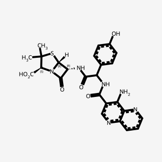 CC1(C)S[C@@H]2[C@H](NC(=O)C(NC(=O)c3cnc4cccnc4c3N)c3ccc(O)cc3)C(=O)N2[C@H]1C(=O)O